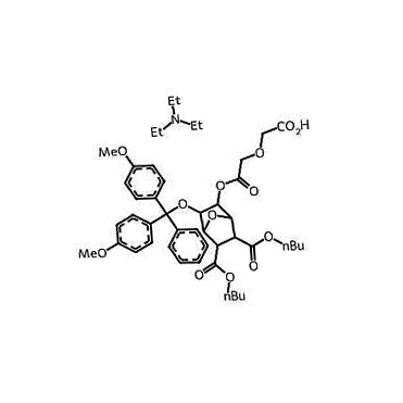 CCCCOC(=O)C1C2OC(C(OC(c3ccccc3)(c3ccc(OC)cc3)c3ccc(OC)cc3)C2OC(=O)COCC(=O)O)C1C(=O)OCCCC.CCN(CC)CC